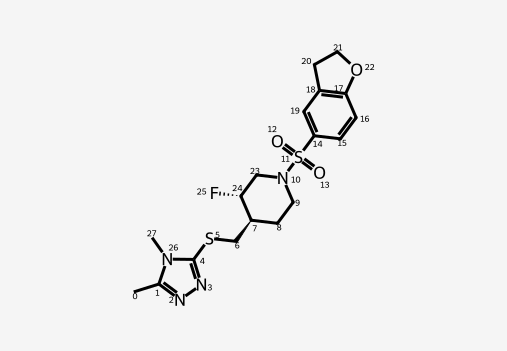 Cc1nnc(SC[C@@H]2CCN(S(=O)(=O)c3ccc4c(c3)CCO4)C[C@H]2F)n1C